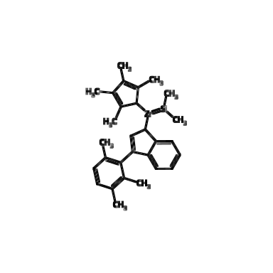 CC1=C(C)[CH]([Zr]([CH]2C=C(c3c(C)ccc(C)c3C)c3ccccc32)=[Si](C)C)C(C)=C1C